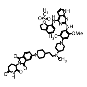 COc1cc(N2CCC(N(C)CCC3CCN(c4ccc5c(c4)C(=O)N(C4CCC(=O)NC4=O)C5=O)CC3)CC2)c(C)cc1Nc1nc(Nc2cccc3c2N(S(C)(=O)=O)CC3)c2cc[nH]c2n1